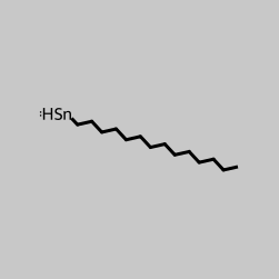 CCCCCCCCCCCCC[CH2][SnH]